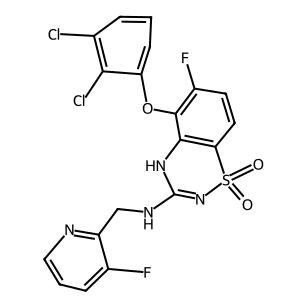 O=S1(=O)N=C(NCc2ncccc2F)Nc2c1ccc(F)c2Oc1cccc(Cl)c1Cl